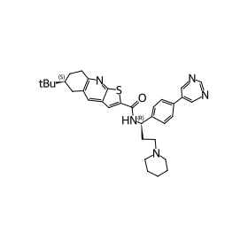 CC(C)(C)[C@H]1CCc2nc3sc(C(=O)N[C@H](CCN4CCCCC4)c4ccc(-c5cncnc5)cc4)cc3cc2C1